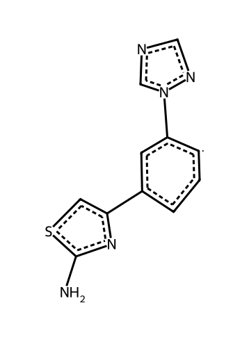 Nc1nc(-c2cc[c]c(-n3cncn3)c2)cs1